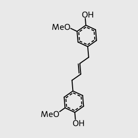 COc1cc(CC=CCc2ccc(O)c(OC)c2)ccc1O